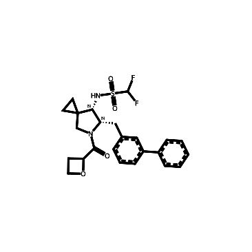 O=C(C1CCO1)N1CC2(CC2)[C@H](NS(=O)(=O)C(F)F)[C@@H]1Cc1cccc(-c2ccccc2)c1